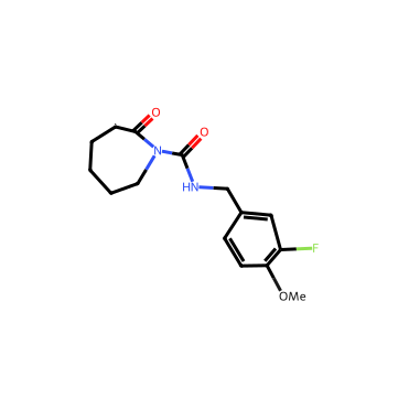 COc1ccc(CNC(=O)N2CCCC[CH]C2=O)cc1F